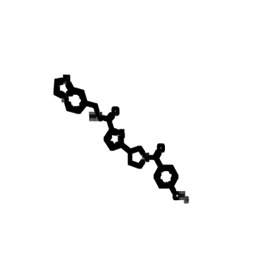 Cc1ccc(C(=O)N2CCC(c3ccc(C(=O)NCc4ccn5ccnc5c4)s3)C2)cc1